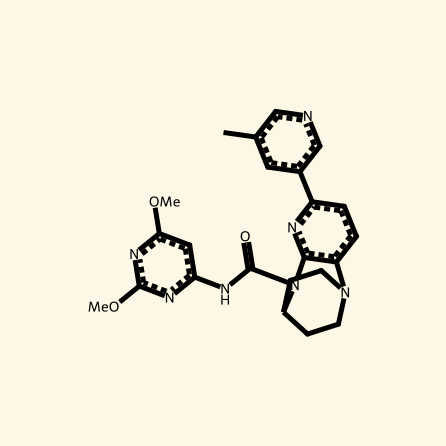 COc1cc(NC(=O)N2c3nc(-c4cncc(C)c4)ccc3N3CCC2CC3)nc(OC)n1